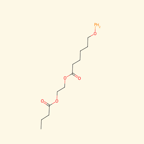 CCCC(=O)OCCOC(=O)CCCCCOP